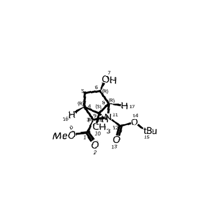 COC(=O)[C@H]1[C@@H]2C[C@@H](O)[C@@H]([C@H]2C)N1C(=O)OC(C)(C)C